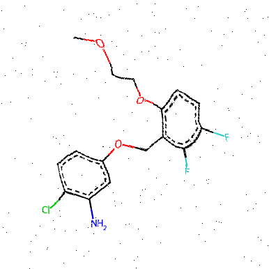 COCCOc1ccc(F)c(F)c1COc1ccc(Cl)c(N)c1